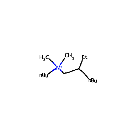 CCCCC(CC)C[N+](C)(C)CCCC